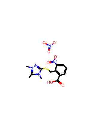 Cc1n(C)c(SCc2c(C(=O)O)cccc2[N+](=O)[O-])n[n+]1C.O=[N+]([O-])[O-]